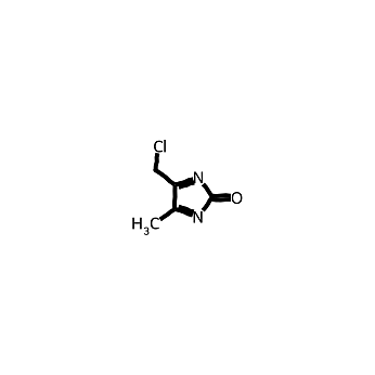 CC1=NC(=O)N=C1CCl